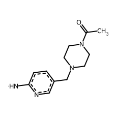 CC(=O)N1CCN(Cc2ccc([NH])nc2)CC1